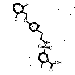 Cc1ccc(S(=O)(=O)NCCc2ccc(OCc3c(F)cccc3Cl)cc2)cc1C(=O)O